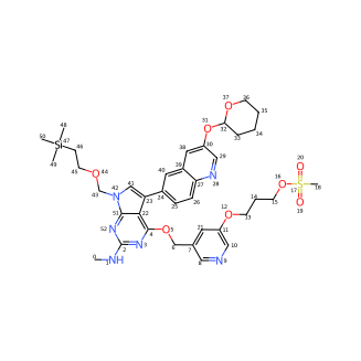 CNc1nc(OCc2cncc(OCCCOS(C)(=O)=O)c2)c2c(-c3ccc4ncc(OC5CCCCO5)cc4c3)cn(COCC[Si](C)(C)C)c2n1